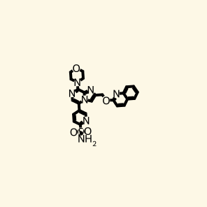 NS(=O)(=O)c1ccc(-c2cnc(N3CCOCC3)c3nc(COc4ccc5ccccc5n4)cn23)cn1